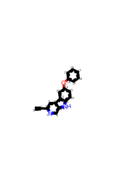 C#Cc1cc2c(cn1)[nH]c1ccc(Oc3ccccc3)cc12